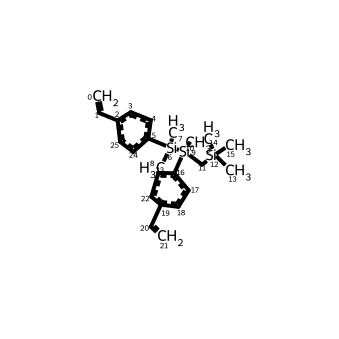 C=Cc1ccc([Si](C)(C)[Si](C)(C[Si](C)(C)C)c2ccc(C=C)cc2)cc1